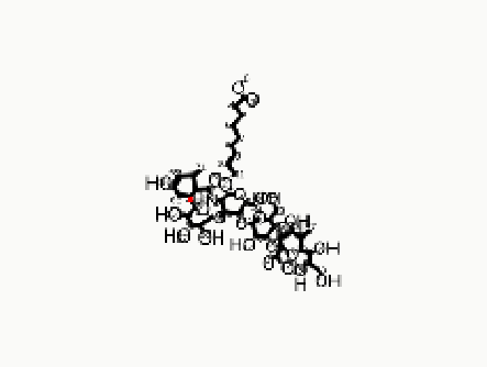 COC(=O)CCCCCCCCOC1OC(CO)C(OC2OC(CO)C(O)C(OC3(C(=O)O)CC(O)C(C)C([C@H](O)[C@H](O)CO)O3)C2O)C(OC2OC(C)C(O)C(O)C2O)C1NC(=O)c1ccc(O)cc1C